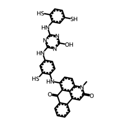 Cn1c(=O)cc2c3c(c(Nc4ccc(Nc5nc(O)nc(Nc6cc(S)ccc6S)n5)cc4S)ccc31)C(=O)c1ccccc1-2